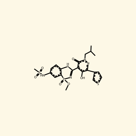 COP1(=O)N=C(c2c(O)c(-c3ccsc3)nn(CC(C)C)c2=O)Nc2ccc(NS(C)(=O)=O)cc21